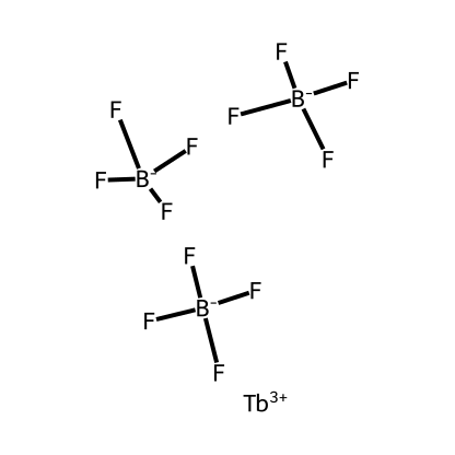 F[B-](F)(F)F.F[B-](F)(F)F.F[B-](F)(F)F.[Tb+3]